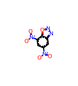 O=[N+]([O-])c1cc([N+](=O)[O-])c2onnc2c1